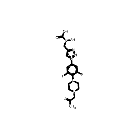 CC(=O)CN1CCN(c2c(F)cc(-n3cc(CN(S)C(=O)O)nn3)cc2F)CC1